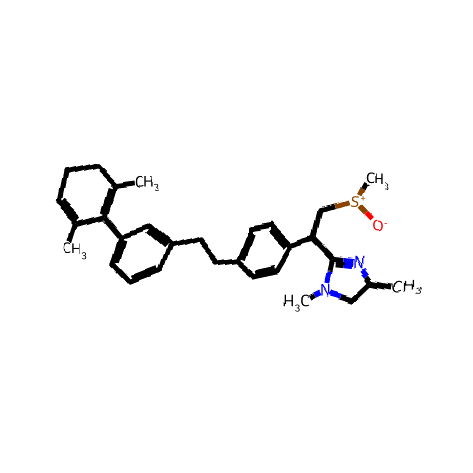 CC1=CCCC(C)=C1c1cccc(CCc2ccc(C(C[S+](C)[O-])C3=NC(C)CN3C)cc2)c1